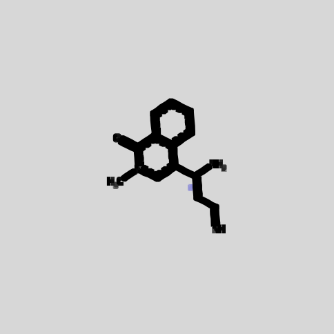 Cn1cc(/C(N)=C/C=N)c2ccccc2c1=O